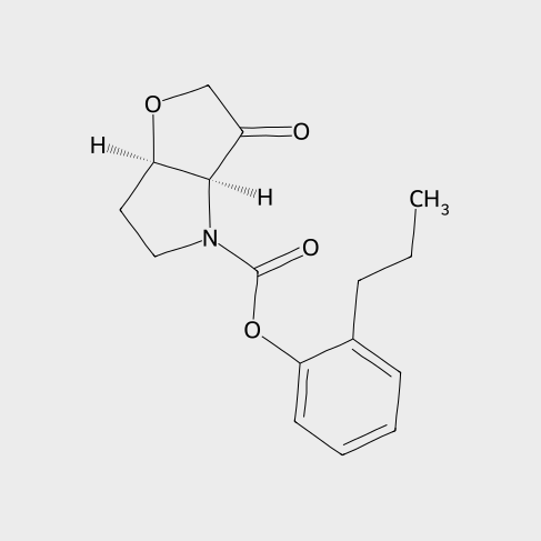 CCCc1ccccc1OC(=O)N1CC[C@H]2OCC(=O)[C@H]21